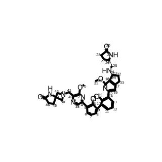 COc1nc(-c2cccc(-c3cccc(-c4cc5c(c(OC)n4)[C@H](NC[C@@H]4CCC(=O)N4)CC5)c3Cl)c2Cl)cnc1CN1CC2(CCC(=O)N2)C1